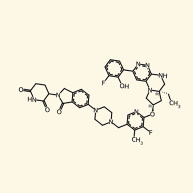 CC[C@@]12CNc3nnc(-c4cccc(F)c4O)cc3N1C[C@H](Oc1ncc(CN3CCN(c4ccc5c(c4)C(=O)N(C4CCC(=O)NC4=O)C5)CC3)c(C)c1F)C2